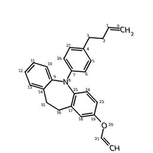 C=CCCc1ccc(N2c3ccccc3CCc3cc(OC=C)ccc32)cc1